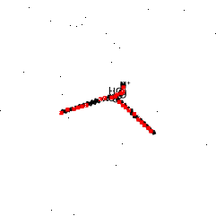 CCCCCCCCCCCCCCCCCCCCCCCCOC[C@H](COP(=O)(O)OCC[N+](C)(C)C)OCCCCCCCCCCCCCCCCCCCCCCCC